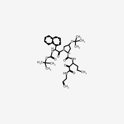 C=CCNC(=O)C(=O)C(CCC)NC(=O)[C@@H]1CC(OC(C)(C)C)CN1C(=O)C(NC(=O)OC(C)(C)C)c1cccc2ccccc12